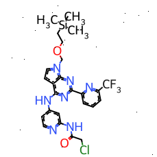 C[Si](C)(C)CCOCn1ccc2c(Nc3ccnc(NC(=O)CCl)c3)nc(-c3cccc(C(F)(F)F)n3)nc21